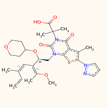 C=C/C(C)=C\C(=C(/C)OC)[C@H](Cn1c(=O)n(C(C)(C)C(=O)O)c(=O)c2c(C)c(-n3cccn3)sc21)OC1CCOCC1